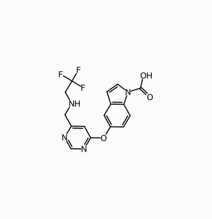 O=C(O)n1ccc2cc(Oc3cc(CNCC(F)(F)F)ncn3)ccc21